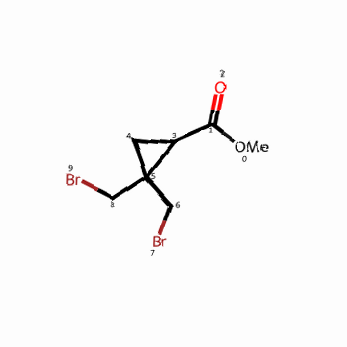 COC(=O)C1CC1(CBr)CBr